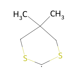 CC1(C)CS[CH]SC1